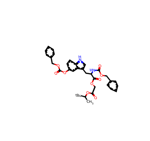 CC(OC(=O)COC(=O)C(Cc1c[nH]c2ccc(OC(=O)OCc3ccccc3)cc12)NC(=O)OCc1ccccc1)C(C)(C)C